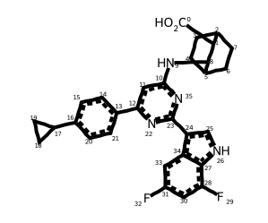 O=C(O)C1C2CCC(CC2)C1Nc1cc(-c2ccc(C3CC3)cc2)nc(-c2c[nH]c3c(F)cc(F)cc23)n1